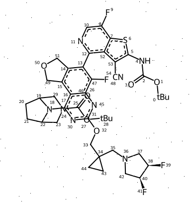 CC(C)(C)OC(=O)Nc1sc2c(F)cnc(-c3c4c(c5c(N6C7CCC6CN(C(=O)OC(C)(C)C)C7)nc(OCC6(CN7C[C@@H](F)[C@@H](F)C7)CC6)nc5c3F)COC4)c2c1C#N